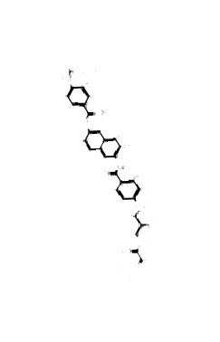 C=CC(=O)OCC(O)COc1ccc(C(=O)Oc2ccc3cc(OC(=O)c4ccc(OCCCCCCCC)cc4)ccc3c2)cc1